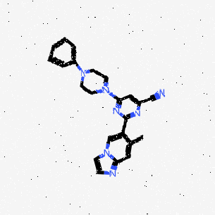 Cc1cc2nccn2cc1-c1nc(C#N)cc(N2CCN(c3ccccc3)CC2)n1